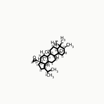 CC(C)C1=C2[C@H]3CC[C@@H]4[C@@]5(C)CC[C@H](C)C(C)(C)[C@@H]5CC[C@@]4(C)[C@]3(C)CC[C@@]2(C2CO2)CC1